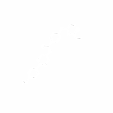 C=CC(=O)OC(C=C)Oc1ccc(C(=O)OC2COC(c3ccc(C#N)cc3)OC2)cc1